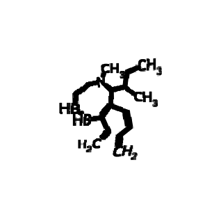 C=C/C=C\C1=C(/C=C)BBCCN(C)C1C(C)CC